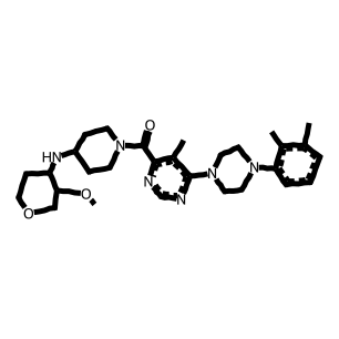 COC1COCCC1NC1CCN(C(=O)c2ncnc(N3CCN(c4cccc(C)c4C)CC3)c2C)CC1